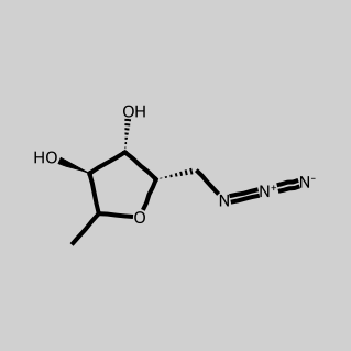 CC1O[C@@H](CN=[N+]=[N-])[C@@H](O)[C@@H]1O